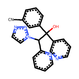 [C-]#[N+]c1cccc(C(O)(c2cccnc2)C(c2ccccn2)n2ccnn2)c1